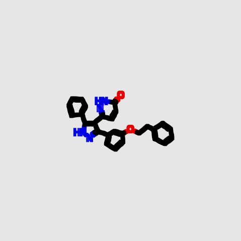 O=c1ccc(-c2c(-c3cccc(OCCc4ccccc4)c3)n[nH]c2-c2ccccc2)n[nH]1